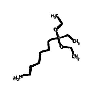 CCO[Si](CC)(CCCCCCN)OCC